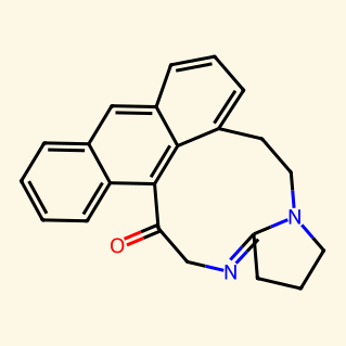 O=C1C/N=C2\CCCN2CCc2cccc3cc4ccccc4c1c23